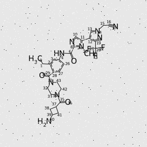 CCc1cc(NC(=O)c2ncc(-c3cn(CC#N)nc3C(F)(F)F)n2C)ccc1C(=O)N1CCN(C(=O)C2CC(N)C2)CC1